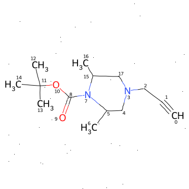 C#CCN1CC(C)N(C(=O)OC(C)(C)C)C(C)C1